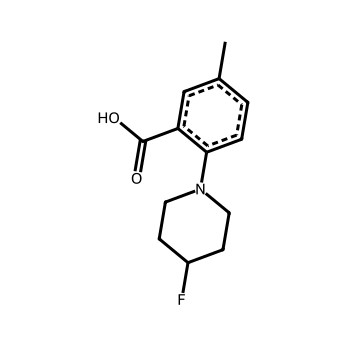 Cc1ccc(N2CCC(F)CC2)c(C(=O)O)c1